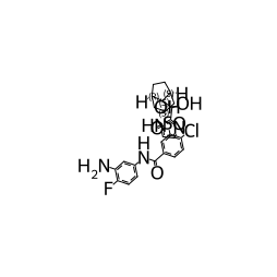 Nc1cc(NC(=O)c2ccc(Cl)c(S(=O)(=O)[C@@H]3C[C@H]4CC[C@@H](C3)[C@@]4(O)C(O)c3ncc[nH]3)c2)ccc1F